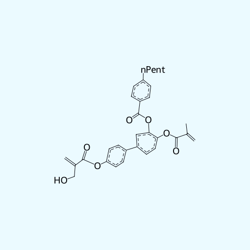 C=C(C)C(=O)Oc1ccc(-c2ccc(OC(=O)C(=C)CO)cc2)cc1OC(=O)c1ccc(CCCCC)cc1